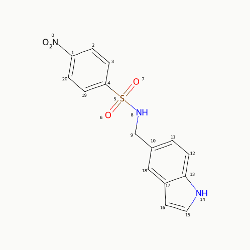 O=[N+]([O-])c1ccc(S(=O)(=O)NCc2ccc3[nH]ccc3c2)cc1